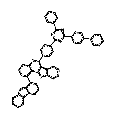 c1ccc(-c2ccc(-c3nc(-c4ccccc4)nc(-c4ccc(-c5nc6cccc(-c7cccc8c7sc7ccccc78)c6c6sc7ccccc7c56)cc4)n3)cc2)cc1